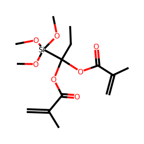 C=C(C)C(=O)OC(CC)(OC(=O)C(=C)C)[Si](OC)(OC)OC